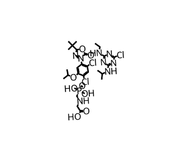 CC(C)Oc1cc(-n2nc(C(C)(C)C)oc2=O)c(Cl)cc1Cl.CCNc1nc(Cl)nc(NC(C)C)n1.O=C(O)CNCP(=O)(O)O